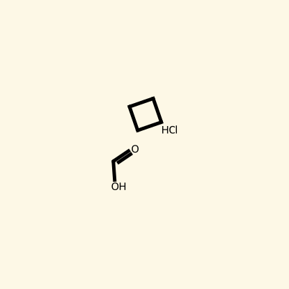 C1CCC1.Cl.O=CO